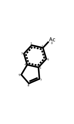 CC(=O)c1ccc2c(c1)C=[C]C2